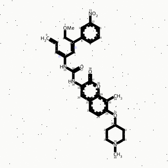 C=C/C=C(\C=C(/COC)c1cccc([N+](=O)[O-])c1)NC(=O)Nc1cc2ccc(OC3CCN(C)CC3)c(C)c2oc1=O